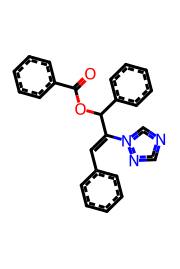 O=C(OC(C(=Cc1ccccc1)n1cncn1)c1ccccc1)c1ccccc1